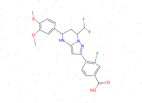 COc1ccc(C2CC(C(F)F)n3nc(-c4ccc(C(=O)O)cc4F)cc3N2)cc1OC